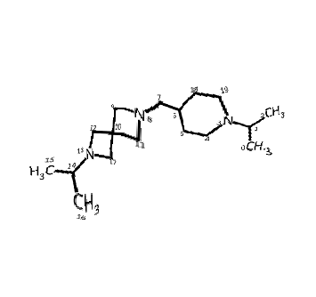 CC(C)N1CCC(CN2CC3(C2)CN(C(C)C)C3)CC1